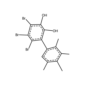 Cc1cc(-c2c(O)c(O)c(Br)c(Br)c2Br)c(C)c(C)c1C